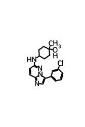 CC1(O)CCC(Nc2ccc3ncc(-c4cccc(Cl)c4)n3n2)CC1